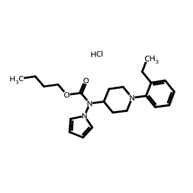 CCCCOC(=O)N(C1CCN(c2ccccc2CC)CC1)n1cccc1.Cl